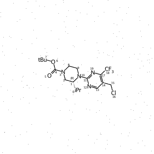 CC(C)[C@@H]1CN(C(=O)OC(C)(C)C)CCN1c1ncc(CCl)c(C(F)(F)F)n1